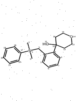 C[Si](C)(Cc1ccccc1C1(O)CCOCC1)c1ccccc1